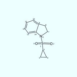 O=S(=O)(C1CC1)N1CCc2ccccc21